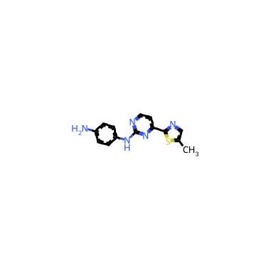 Cc1cnc(-c2ccnc(Nc3ccc(N)cc3)n2)s1